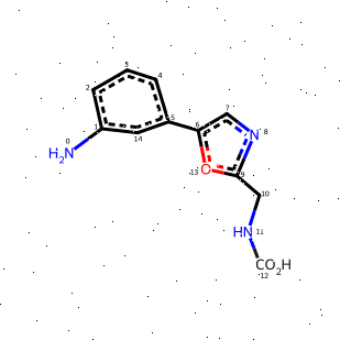 Nc1cccc(-c2cnc(CNC(=O)O)o2)c1